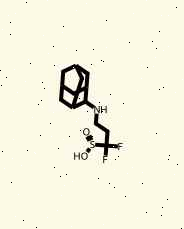 O=S(O)C(F)(F)CCNC1C2CC3CC(C2)CC1C3